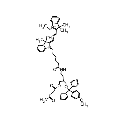 CC[N+]1=C(/C=C/C=C2/N(CCCCCC(=O)NCCC(COC(=O)CCC(N)=O)COC(c3ccccc3)(c3ccccc3)c3ccc(OC)cc3)c3ccccc3C2(C)C)C(C)(C)c2ccccc21